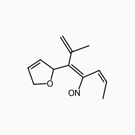 C=C(C)/C(=C(\C=C/C)N=O)C1C=CCO1